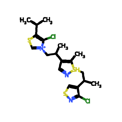 CC1=C(C(C)C[n+]2csc(C(C)C)c2Cl)C=N[SH]1CC(C)c1csnc1Cl